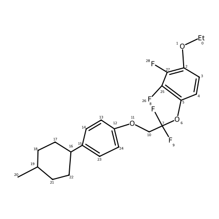 CCOc1ccc(OC(F)(F)COc2ccc(C3CCC(C)CC3)cc2)c(F)c1F